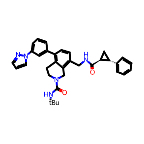 CC(C)(C)NC(=O)N1CCc2c(-c3cccc(-n4cccn4)c3)ccc(CNC(=O)[C@H]3C[C@@H]3c3ccccc3)c2C1